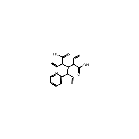 C=CC(C(=O)O)N(C(C=C)C(=O)O)C(C=C)c1ccccn1